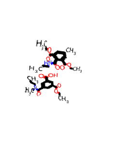 CCCN(C)C(=O)c1cc(C(=O)O)cc(C(=O)OCC)c1.CCCNC(=O)c1c(C(=O)OCC)cc(C)cc1C(=O)OCC